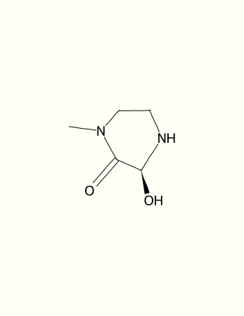 CN1CCN[C@@H](O)C1=O